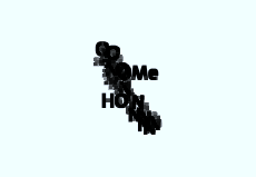 COC1CN(C[C@H](O)c2cnc(-n3cnnn3)cn2)CCC12CCN(C1=C(C)C(=O)OC1)C2=O